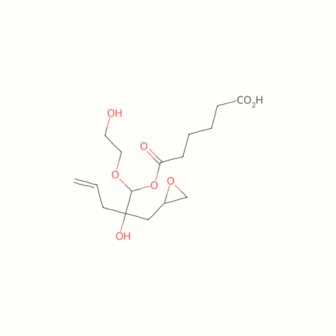 C=CCC(O)(CC1CO1)C(OCCO)OC(=O)CCCCC(=O)O